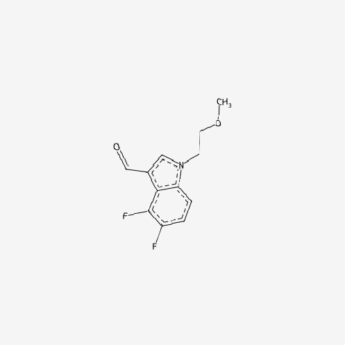 COCCn1cc(C=O)c2c(F)c(F)ccc21